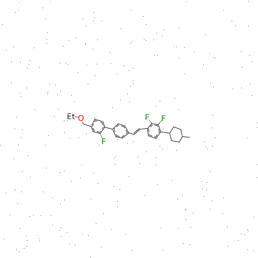 CCOCc1ccc(-c2ccc(/C=C/c3ccc(C4CCC(C)CC4)c(F)c3F)cc2)c(F)c1